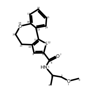 COCC(C)NC(=O)c1cc2c(s1)-c1ccccc1OCC2